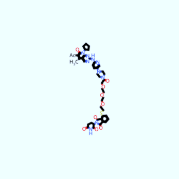 CC(=O)c1c(C)c2cnc(Nc3ccc(N4CCN(C(=O)COCCOCCOCCSc5cccc6c5C(=O)N(C5CCC(=O)NC5=O)C6=O)CC4)cn3)nc2n(C2CCCC2)c1=O